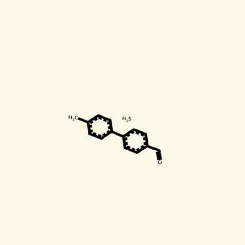 Cc1ccc(-c2ccc(C=O)cc2)cc1.S